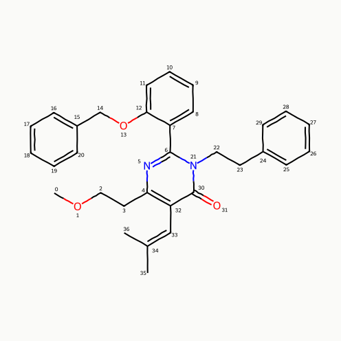 COCCc1nc(-c2ccccc2OCc2ccccc2)n(CCc2ccccc2)c(=O)c1C=C(C)C